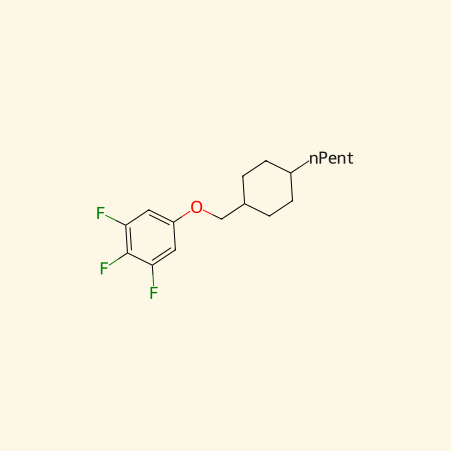 CCCCCC1CCC(COc2cc(F)c(F)c(F)c2)CC1